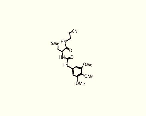 COc1cc(NC(=O)NC(CSC)C(=O)NCCC#N)cc(OC)c1OC